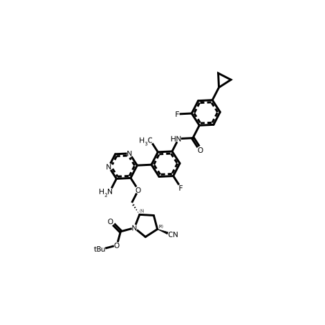 Cc1c(NC(=O)c2ccc(C3CC3)cc2F)cc(F)cc1-c1ncnc(N)c1OC[C@@H]1C[C@@H](C#N)CN1C(=O)OC(C)(C)C